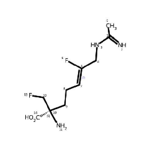 CC(=N)NC/C(F)=C/CC[C@@](N)(CF)C(=O)O